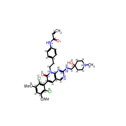 C=CC(=O)Nc1ccc(CCn2c(=O)c(-c3c(Cl)c(OC)cc(OC)c3Cl)cc3cnc(NCC4(O)CCN(C)CC4)nc32)cc1